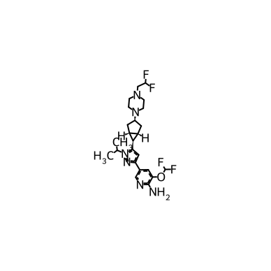 CC(C)n1nc(-c2cnc(N)c(OC(F)F)c2)cc1[C@H]1[C@@H]2C[C@@H](N3CCN(CC(F)F)CC3)C[C@@H]21